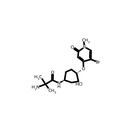 Cl.Cn1cc(Br)c(O[C@H]2CC[C@H](NC(=O)C(C)(C)N)CC2)cc1=O